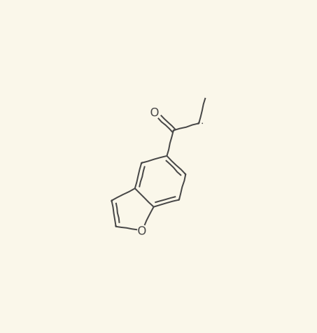 C[CH]C(=O)c1ccc2occc2c1